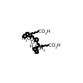 CC(C)(C(/C=C/C1=C(Cl)C(=C/C=C2/N(CCCCCC(=O)O)c3ccc4ccccc4c3C2(C)C)/CCC1)=N/CCCCCC(=O)O)c1cccc2ccccc12